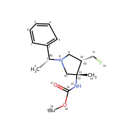 C[C@H](c1ccccc1)N1C[C@H](CF)[C@](C)(NC(=O)OC(C)(C)C)C1